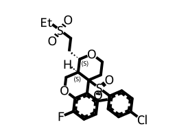 CCS(=O)(=O)CC[C@@H]1OCCC2(S(=O)(=O)c3ccc(Cl)cc3)c3c(F)ccc(F)c3OC[C@@H]12